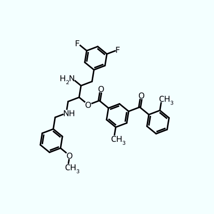 COc1cccc(CNCC(OC(=O)c2cc(C)cc(C(=O)c3ccccc3C)c2)C(N)Cc2cc(F)cc(F)c2)c1